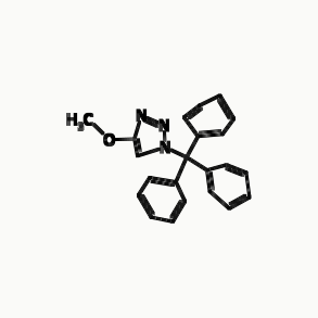 COc1cn(C(c2ccccc2)(c2ccccc2)c2ccccc2)nn1